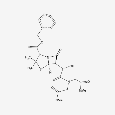 CNC(=O)CN(CC(=O)NC)C(=O)[C@@H](O)[C@@H]1C(=O)N2[C@@H]1SC(C)(C)[C@@H]2C(=O)OCc1ccccc1